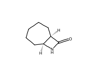 O=C1N[C@H]2CCCCC[C@@H]12